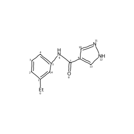 CCc1cccc(NC(=O)c2cn[nH]c2)c1